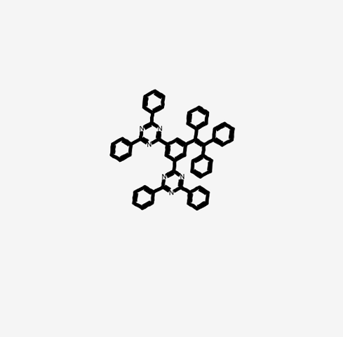 c1ccc(C(=C(c2ccccc2)c2cc(-c3nc(-c4ccccc4)nc(-c4ccccc4)n3)cc(-c3nc(-c4ccccc4)nc(-c4ccccc4)n3)c2)c2ccccc2)cc1